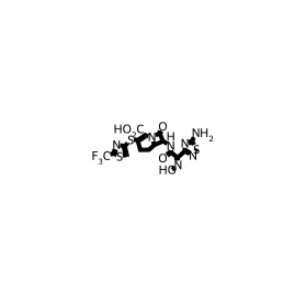 Nc1nc(/C(=N/O)C(=O)NC2C(=O)N3C(C(=O)O)=C(Sc4csc(C(F)(F)F)n4)CCC23)ns1